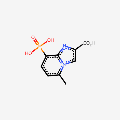 Cc1ccc(P(=O)(O)O)c2nc(C(=O)O)cn12